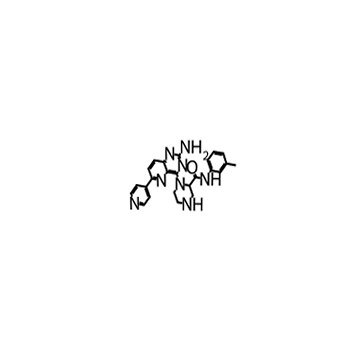 Cc1cccc(NC(=O)C2CNCCN2c2nc(N)nc3ccc(-c4ccncc4)nc23)c1